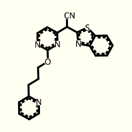 N#CC(c1ccnc(OCCCc2ccccn2)n1)c1nc2ccccc2s1